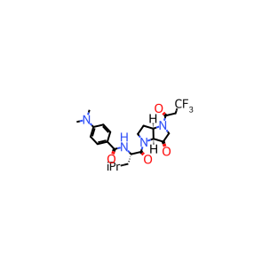 CC(C)C[C@H](NC(=O)c1ccc(N(C)C)cc1)C(=O)N1CC[C@@H]2[C@H]1C(=O)CN2C(=O)CC(F)(F)F